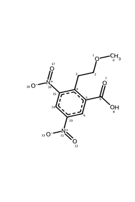 COCCc1c(C(=O)O)cc([N+](=O)[O-])cc1[N+](=O)[O-]